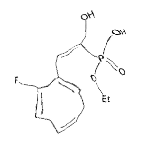 CCOP(=O)(O)C(O)=Cc1ccccc1F